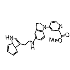 COC(=O)c1cc(N2CCc3cc(NCCC4=CNC5C=CC=CC45)ccc32)ccn1